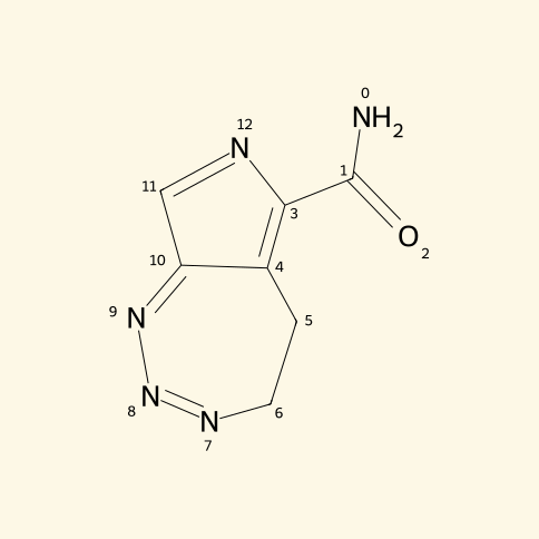 NC(=O)C1=C2CCN=NN=C2C=N1